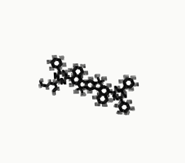 C=C/C(=C\C=C/C)c1nc(-c2ccccc2)nc(-c2cc3c(c4ccccc24)-c2cc4c(cc2C3(C)C)-c2c(cc(-c3nc(-c5ccccc5)nc(-c5ccccc5)n3)c3ccccc23)C4(C)C)n1